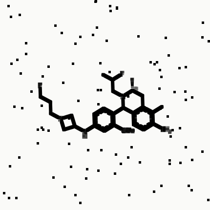 COc1cc(NC2CN(CCCF)C2)ccc1C1c2ccc(N)c(C)c2C[C@@H](C)N1CC(C)F